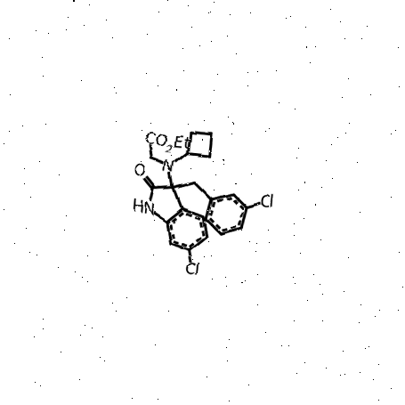 CCOC(=O)CN(C1CCC1)C1(Cc2cccc(Cl)c2)C(=O)Nc2cc(Cl)ccc21